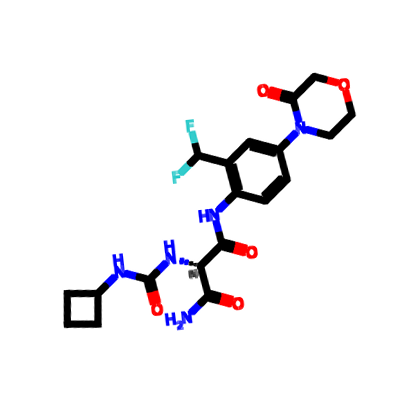 NC(=O)[C@H](NC(=O)NC1CCC1)C(=O)Nc1ccc(N2CCOCC2=O)cc1C(F)F